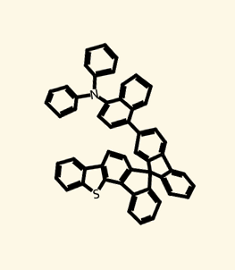 c1ccc(N(c2ccccc2)c2ccc(-c3ccc4c(c3)C3(c5ccccc5-4)c4ccccc4-c4c3ccc3c4sc4ccccc43)c3ccccc23)cc1